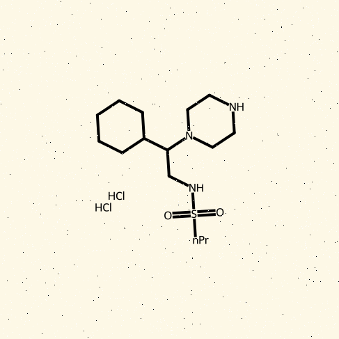 CCCS(=O)(=O)NCC(C1CCCCC1)N1CCNCC1.Cl.Cl